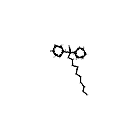 CCCCCCCCCCC(C)(c1ccccc1)c1ccccc1